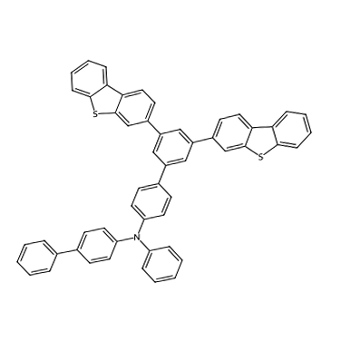 c1ccc(-c2ccc(N(c3ccccc3)c3ccc(-c4cc(-c5ccc6c(c5)sc5ccccc56)cc(-c5ccc6c(c5)sc5ccccc56)c4)cc3)cc2)cc1